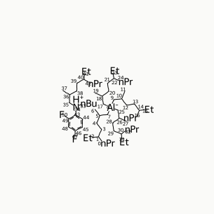 CCCC(CC)CCC(C)[CH2][Al-]([CH2]C(C)CCC(CC)CCC)([CH2]C(C)CCC(CC)CCC)[CH2]C(C)CCC(CC)CCC.CCCC[NH+](CC(C)CCC(CC)CCC)c1ccc(F)cc1F